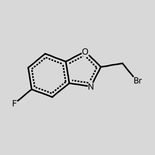 Fc1ccc2oc(CBr)nc2c1